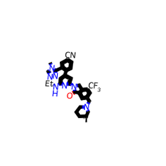 CCNc1cc(-c2ccc(C#N)cc2-c2nncn2C)cc(N2Cc3c(cc(CN4CCC[C@H](C)C4)cc3C(F)(F)F)C2=O)n1